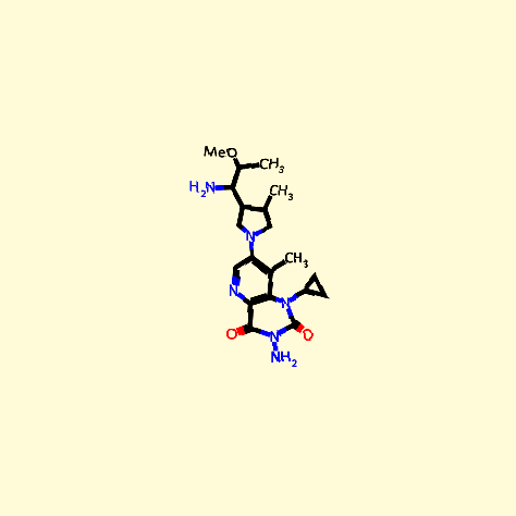 COC(C)C(N)C1CN(c2cnc3c(=O)n(N)c(=O)n(C4CC4)c3c2C)CC1C